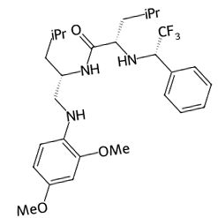 COc1ccc(NC[C@H](CC(C)C)NC(=O)[C@H](CC(C)C)N[C@@H](c2ccccc2)C(F)(F)F)c(OC)c1